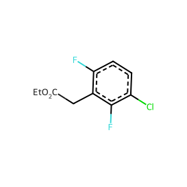 CCOC(=O)Cc1c(F)ccc(Cl)c1F